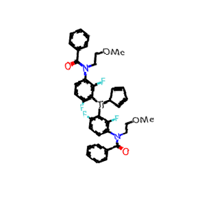 COCCN(C(=O)c1ccccc1)c1ccc(F)[c]([Ti]([c]2c(F)ccc(N(CCOC)C(=O)c3ccccc3)c2F)[CH]2C=CC=C2)c1F